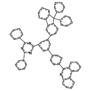 c1ccc(-c2nc(-c3ccccc3)nc(-c3cc(-c4ccc(-c5nc6ccccc6c6ccccc56)cc4)cc(-c4ccc5c(c4)-c4ccccc4C5(c4ccccc4)c4ccccc4)c3)n2)cc1